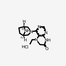 CCN1CC(=O)Nc2ncnc(N3C[C@H]4CC[C@@H](C3)N4)c21.Cl